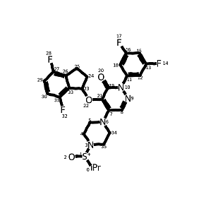 CC(C)[S+]([O-])N1CCN(c2cnn(-c3cc(F)cc(F)c3)c(=O)c2OC2CCc3c(F)ccc(F)c32)CC1